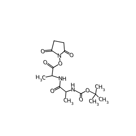 CC(NC(=O)OC(C)(C)C)C(=O)NC(C)C(=O)ON1C(=O)CCC1=O